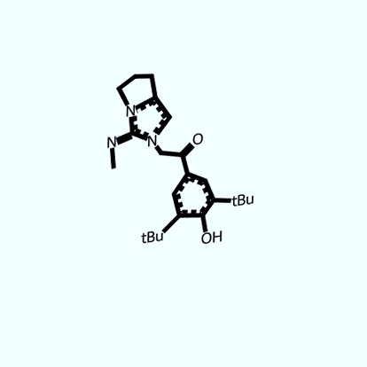 C/N=c1\n(CC(=O)c2cc(C(C)(C)C)c(O)c(C(C)(C)C)c2)cc2n1CCC2